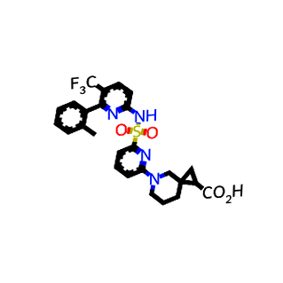 Cc1ccccc1-c1nc(NS(=O)(=O)c2cccc(N3CCCC4(CC4C(=O)O)C3)n2)ccc1C(F)(F)F